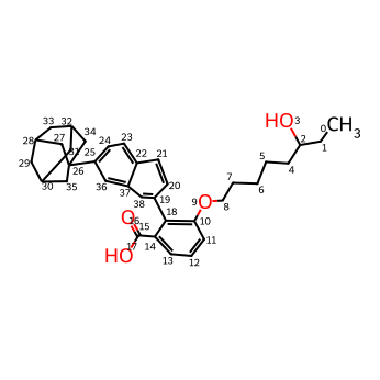 CCC(O)CCCCCOc1cccc(C(=O)O)c1-c1ccc2ccc(C34CC5CC(CC(C5)C3)C4)cc2c1